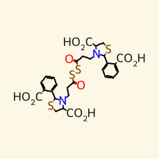 O=C(CCN1C(C(=O)O)CSC1c1ccccc1C(=O)O)SSC(=O)CCN1C(C(=O)O)CSC1c1ccccc1C(=O)O